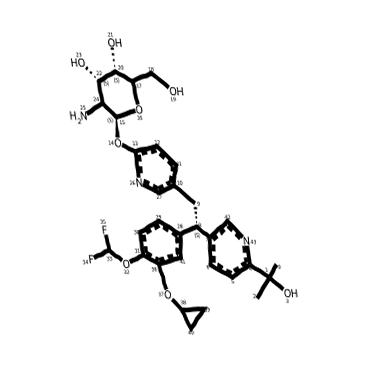 CC(C)(O)c1ccc([C@@H](Cc2ccc(O[C@@H]3OC(CO)[C@@H](O)[C@@H](O)C3N)nc2)c2ccc(OC(F)F)c(OC3CC3)c2)cn1